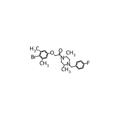 Cc1cc(OCC(=O)N2C[C@H](C)N(Cc3ccc(F)cc3)C[C@H]2C)cc(C)c1Br